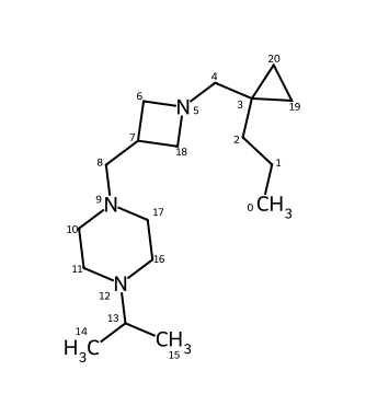 CCCC1(CN2CC(CN3CCN(C(C)C)CC3)C2)CC1